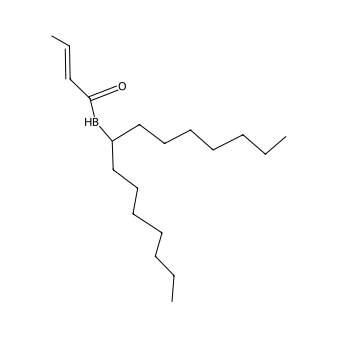 C/C=C/C(=O)BC(CCCCCCC)CCCCCCC